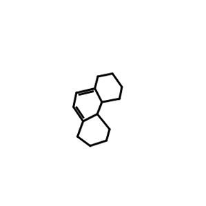 C1=C2CCCCC2C2CCCCC2=C1